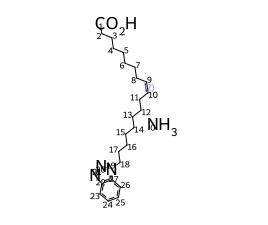 N.O=C(O)CCCCCCC/C=C\CCCCCCCCn1nnc2ccccc21